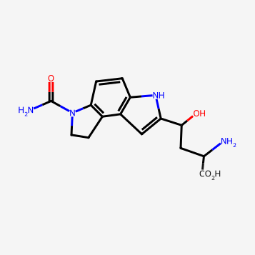 NC(=O)N1CCc2c1ccc1[nH]c(C(O)CC(N)C(=O)O)cc21